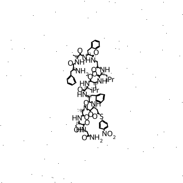 CC(C)C[C@H](NC(=O)CNC(=O)[C@H](Cc1ccccc1)N(C)C(=O)[C@H](C)NC(=O)[C@@H](N)Cc1ccccc1)C(=O)N[C@@H](C)C(=O)N[C@H](C(=O)N[C@@H](Cc1ccccc1)C(=O)N[C@@H](CC(=O)Sc1ccc([N+](=O)[O-])cc1)C(=O)N(C)[C@@H](C)C(=O)N[C@@H](CO)C(=O)NCC(N)=O)C(C)C